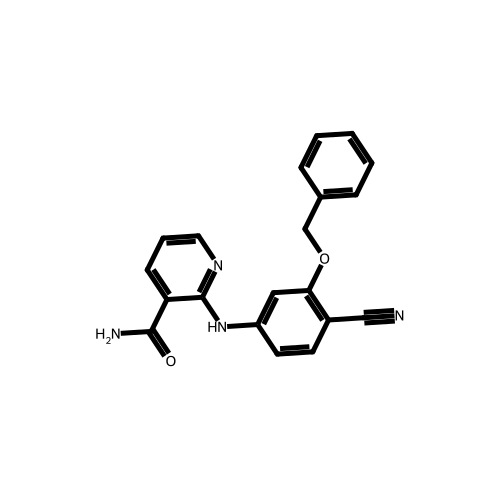 N#Cc1ccc(Nc2ncccc2C(N)=O)cc1OCc1ccccc1